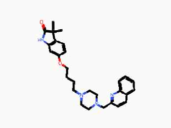 CC1(C)C(=O)Nc2cc(OCCCCN3CCN(Cc4ccc5ccccc5n4)CC3)ccc21